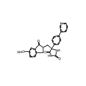 COc1ccc2c(c1)C(=O)N(C[C@@]1(c3ccc(-c4cccnc4)cc3)NC(=O)NC1=O)C2